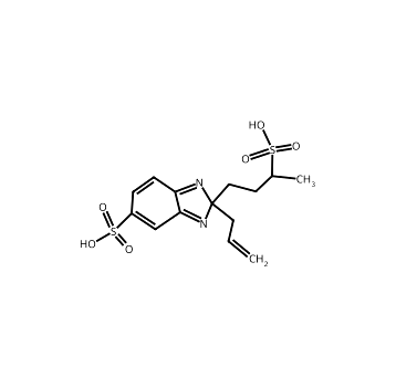 C=CCC1(CCC(C)S(=O)(=O)O)N=c2ccc(S(=O)(=O)O)cc2=N1